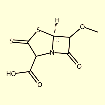 COC1C(=O)N2C(C(=O)O)C(=S)S[C@@H]12